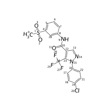 CS(=O)(=O)c1cccc(NC(=O)c2cnn(-c3ccc(Cl)cc3)c2C(F)(F)F)c1